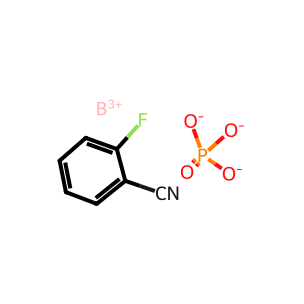 N#Cc1ccccc1F.O=P([O-])([O-])[O-].[B+3]